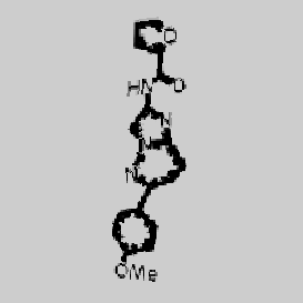 COc1ccc(-c2ccc3nc(NC(=O)c4ccco4)cn3n2)cc1